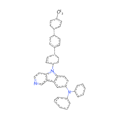 FC(F)(F)c1ccc(-c2ccc(-c3ccc(-n4c5ccncc5c5cc(N(c6ccccc6)c6ccccc6)ccc54)cc3)cc2)cc1